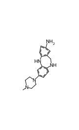 CN1CCN(c2ccc3c(c2)Nc2ccc(N)cc2CN3)CC1